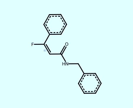 O=C(/C=C(/F)c1ccccc1)NCc1ccccc1